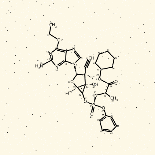 C#C[C@]1(F)[C@H](n2cnc3c(OCC)nc(N)nc32)O[C@]2(F)C(O[P@](=O)(NC(C)C(=O)OC3CCCCC3)Oc3ccccc3)[C@@]21O